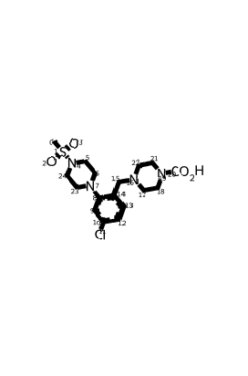 CS(=O)(=O)N1CCN(c2cc(Cl)ccc2CN2CCN(C(=O)O)CC2)CC1